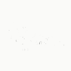 Cl.O=C(O)CCn1cc(/C=C2/CN(C(C(=O)C3CC3)c3ccccc3F)CCC2S)nn1